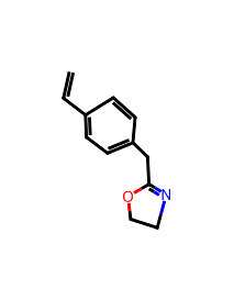 C=Cc1ccc(CC2=NCCO2)cc1